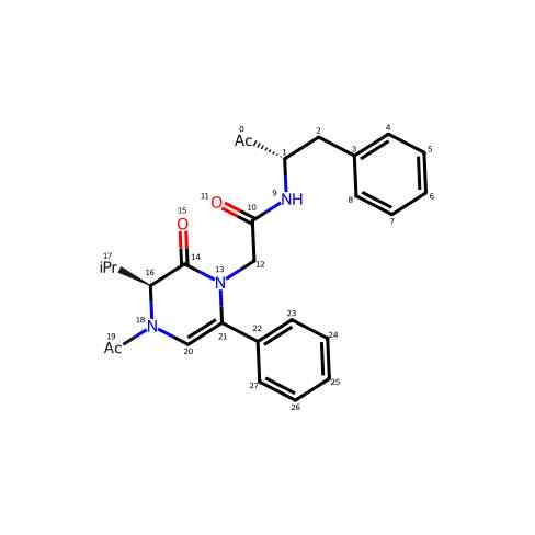 CC(=O)[C@H](Cc1ccccc1)NC(=O)CN1C(=O)[C@H](C(C)C)N(C(C)=O)C=C1c1ccccc1